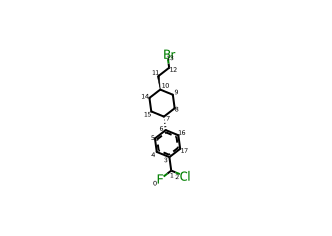 FC(Cl)c1ccc([C@H]2CC[C@H](CCBr)CC2)cc1